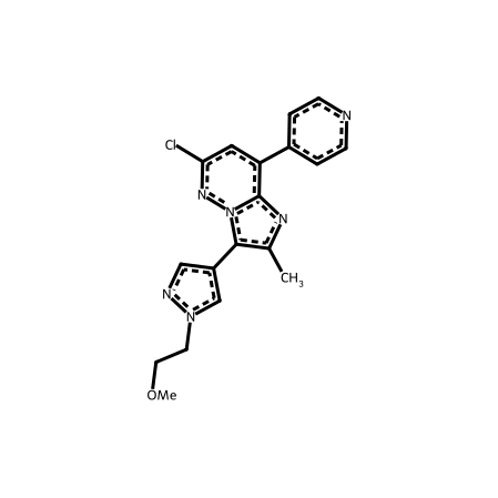 COCCn1cc(-c2c(C)nc3c(-c4ccncc4)cc(Cl)nn23)cn1